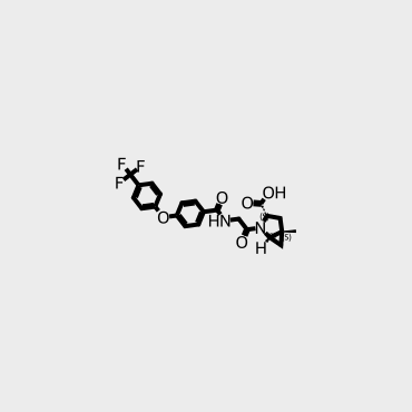 C[C@@]12C[C@@H]1N(C(=O)CNC(=O)c1ccc(Oc3ccc(C(F)(F)F)cc3)cc1)[C@H](C(=O)O)C2